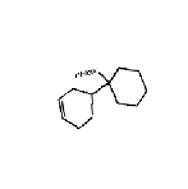 CCCCCCC1(C2CC=CCC2)CCCCC1